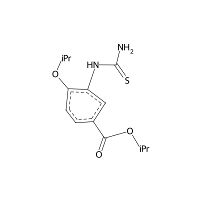 CC(C)OC(=O)c1ccc(OC(C)C)c(NC(N)=S)c1